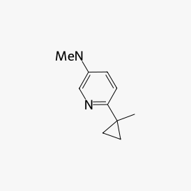 CNc1ccc(C2(C)CC2)nc1